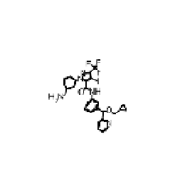 NCc1cccc(-n2nc(C(F)(F)F)c(I)c2C(=O)Nc2cccc(C(OCC3CC3)c3ccccn3)c2)c1